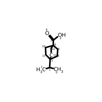 CC(C)C12CCC(C(=O)O)(CC1)CC2